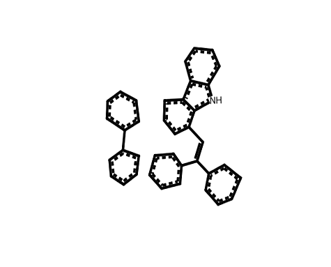 C(=C(c1ccccc1)c1ccccc1)c1cccc2c1[nH]c1ccccc12.c1ccc(-c2ccccc2)cc1